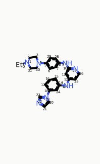 CCN1CCN(c2ccc(Nc3cc(Nc4cccc(-n5ccnc5)c4)ccn3)cc2)CC1